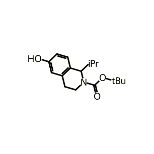 CC(C)C1c2ccc(O)cc2CCN1C(=O)OC(C)(C)C